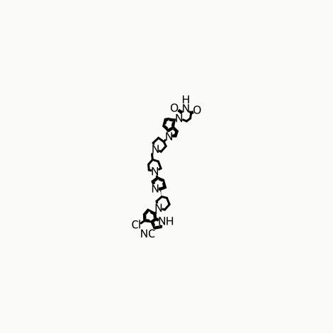 N#Cc1c[nH]c2c(N3CCC[C@@H](c4ccc(N5CCC(CN6CCC(n7ccc8c(N9CCC(=O)NC9=O)cccc87)CC6)CC5)cn4)C3)ccc(Cl)c12